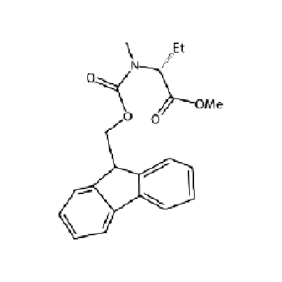 CC[C@H](C(=O)OC)N(C)C(=O)OCC1c2ccccc2-c2ccccc21